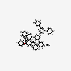 N#Cc1cccc(-c2cc(-c3nc(-c4ccccc4)nc(-c4ccccc4)n3)cc(-c3cccc(C#N)c3)c2-n2c3ccccc3c3cc4c5ccccc5n(-c5ccccc5)c4cc32)c1